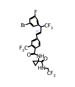 O=C(NC1(C(=O)NCC(F)(F)F)CC1)c1ccc(/C=C/C(c2cc(F)cc(Br)c2)C(F)(F)F)cc1C(F)(F)F